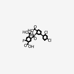 O=C(O)c1cc(C(=O)Nc2cc(-c3ccc(Cl)cc3Cl)ccc2C(=O)O)c(C(=O)O)cc1F